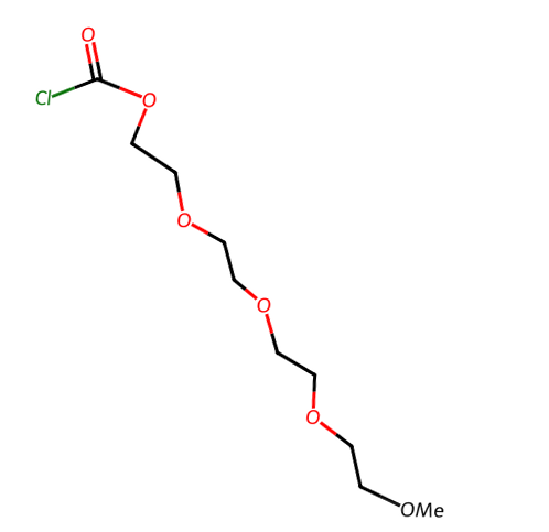 COCCOCCOCCOCCOC(=O)Cl